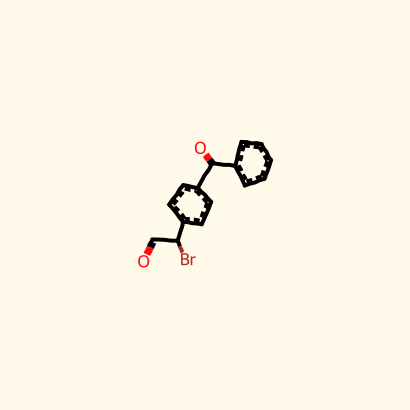 O=CC(Br)c1ccc(C(=O)c2ccccc2)cc1